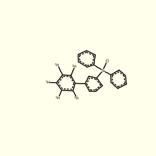 [2H]c1c([2H])c([2H])c(-c2cccc([Si](Cl)(c3ccccc3)c3ccccc3)c2)c([2H])c1[2H]